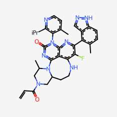 C=CC(=O)N1CC(C)N2c3nc(=O)n(-c4c(C)ccnc4C(C)C)c4nc(-c5c(C)ccc6[nH]ncc56)c(F)c(c34)NCCC2C1